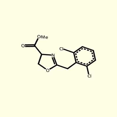 COC(=O)C1COC(Cc2c(Cl)cccc2Cl)=N1